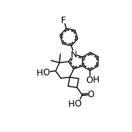 CC1(C)c2c(c3c(O)cccc3n2-c2ccc(F)cc2)C2(CC(C(=O)O)C2)CC1O